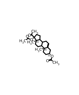 CC(=O)O[C@H]1CC[C@@]2(C)C(=CCC3C2CC[C@@]2(C)C3CC[C@@]2(OC(C)=O)C(C)=O)C1